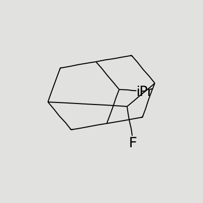 CC(C)C1C2CC3CC1CC(C2)C3F